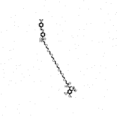 COc1cc(C(C)NC(=O)CCOCCOCCOCCOCCOCCOCCOCCOCCNS(=O)(=O)c2ccc(/N=N/c3ccc(N(C)C)cc3)cc2)c([N+](=O)[O-])cc1OC